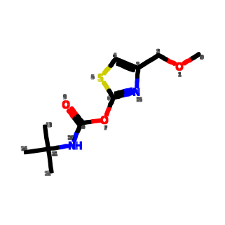 COCc1csc(OC(=O)NC(C)(C)C)n1